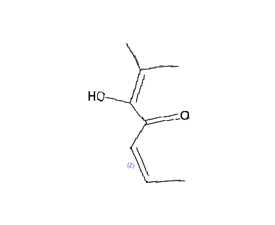 C/C=C\C(=O)C(O)=C(C)C